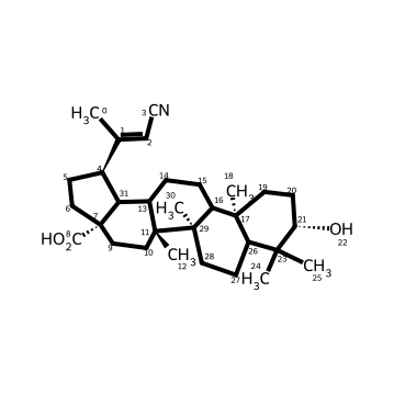 CC(=CC#N)[C@@H]1CC[C@]2(C(=O)O)CC[C@]3(C)C(CCC4[C@@]5(C)CC[C@H](O)C(C)(C)C5CC[C@]43C)C12